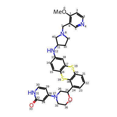 COc1ccncc1CN1CCC(Nc2ccc3c(c2)Sc2cccc(C4CN(c5cc[nH]c(=O)c5)CCO4)c2S3)C1